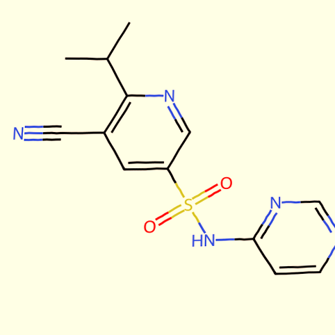 CC(C)c1ncc(S(=O)(=O)Nc2ccncn2)cc1C#N